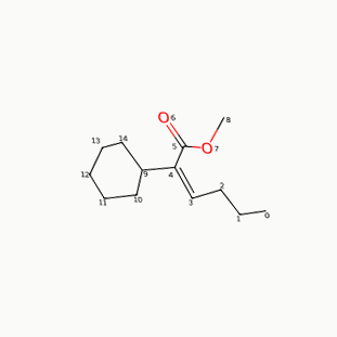 CCCC=C(C(=O)OC)C1CCCCC1